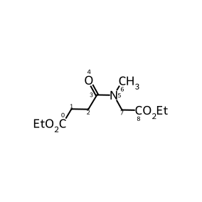 CCOC(=O)CCC(=O)N(C)CC(=O)OCC